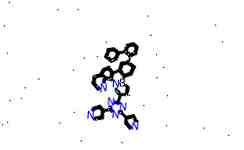 C1=CC(c2nc(-c3ccncc3)nc(-c3ccncc3)n2)=CN2B1c1ccc(-c3ccccc3-c3ccccc3)cc1-c1ccc3cccnc3c12